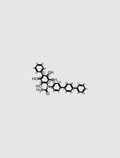 BC(=O)N(c1ccc(-c2ccc(-c3ccccc3)cc2)cc1)c1c(B)c(O)c(-c2ccccc2)c(O)c1O